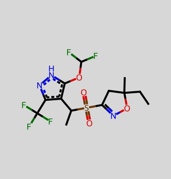 CCC1(C)CC(S(=O)(=O)C(C)c2c(C(F)(F)F)n[nH]c2OC(F)F)=NO1